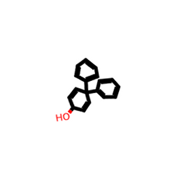 OC1C=CC(c2ccccc2)(c2ccccc2)C=C1